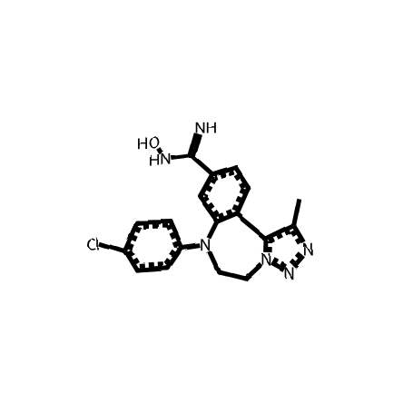 Cc1nnn2c1-c1ccc(C(=N)NO)cc1N(c1ccc(Cl)cc1)CC2